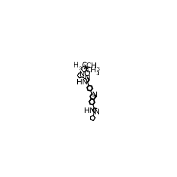 CC(C)(C)OC(=O)N1CCCC1c1ncc(-c2ccc(-c3cc4ccc(-c5cnc(C6CCCC6)[nH]5)cc4cn3)cc2)[nH]1